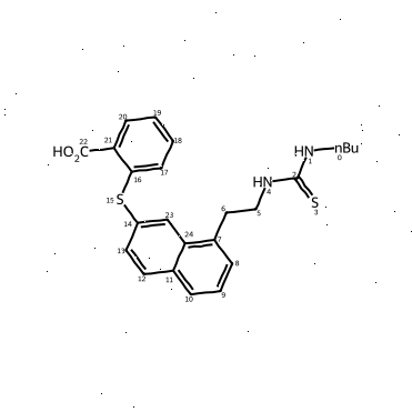 CCCCNC(=S)NCCc1cccc2ccc(Sc3ccccc3C(=O)O)cc12